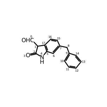 O=CC1C(=O)Nc2cc(Cc3ccccc3)ccc21